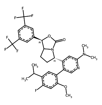 COc1cc(F)c(C(C)C)cc1-c1cnc(N(C)C)cc1[C@@H]1CCC2[C@@H](c3cc(C(F)(F)F)cc(C(F)(F)F)c3)OC(=O)N21